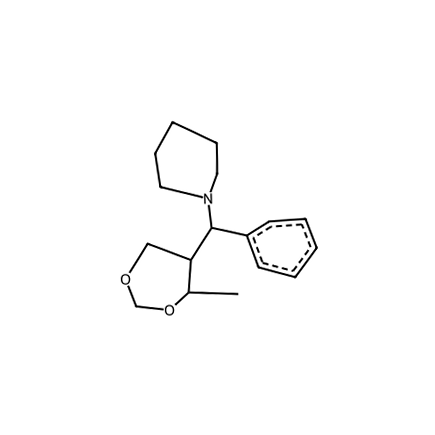 CC1OCOCC1C(c1ccccc1)N1CCCCC1